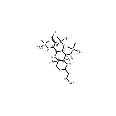 CC(C)(C)[Si](C)(C)OC(/C=C/I)C1O[C@H]2CCC(CCO)O[C@@H]2C(O[Si](C)(C)C(C)(C)C)C1O[Si](C)(C)C(C)(C)C